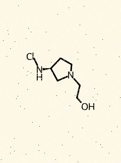 OCCN1CC[C@H](NCl)C1